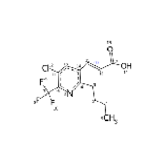 CCCCc1nc(C(F)(F)F)c(Cl)cc1/C=C/C(=O)O